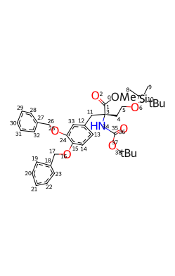 COC(=O)[C@@](CCO[Si](C)(C)C(C)(C)C)(Cc1ccc(OCc2ccccc2)c(OCc2ccccc2)c1)NC(=O)OC(C)(C)C